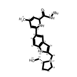 CC1=CC(C(=O)NC(C)(C)C)NC(c2ccc3[nH]c(CN4CCC[C@@H]4CO)cc3c2)=C1